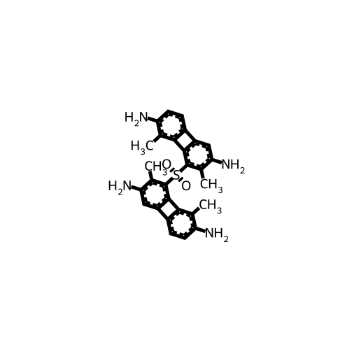 Cc1c(N)ccc2c1-c1c-2cc(N)c(C)c1S(=O)(=O)c1c(C)c(N)cc2c1-c1c-2ccc(N)c1C